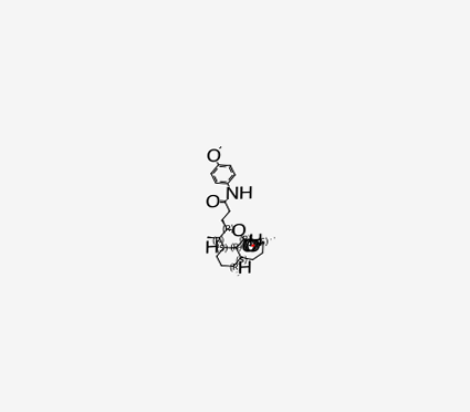 COc1ccc(NC(=O)CC[C@H]2O[C@@H]3O[C@]4(C)CC[C@H]5[C@H](C)CC[C@@H]([C@H]2C)[C@@]35OO4)cc1